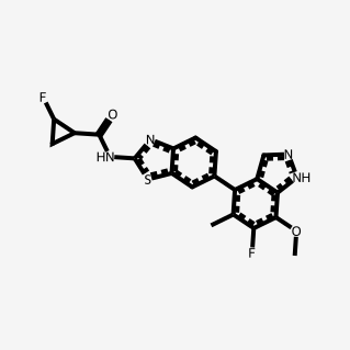 COc1c(F)c(C)c(-c2ccc3nc(NC(=O)C4CC4F)sc3c2)c2cn[nH]c12